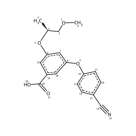 COC[C@H](C)Oc1cc(Oc2ccc(C#N)cc2)cc(C(=O)O)c1